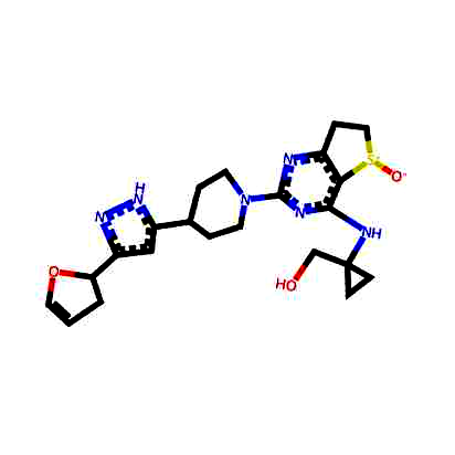 [O-][S+]1CCc2nc(N3CCC(c4cc(C5CC=CO5)n[nH]4)CC3)nc(NC3(CO)CC3)c21